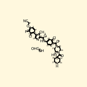 Cn1c(-c2ccc(OCC#N)c(F)c2Cl)cnc1C(=O)Nc1ccc(C(=O)N2CCN(C(=O)C3(O)CCNCC3)CC2)c(Cl)c1.O=CO